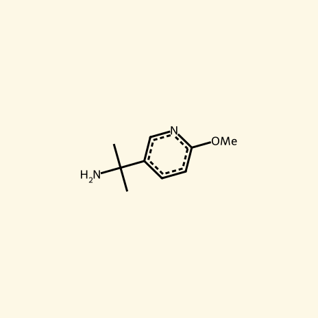 COc1ccc(C(C)(C)N)cn1